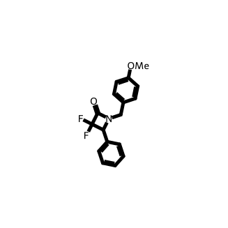 COc1ccc(CN2C(=O)C(F)(F)C2c2ccccc2)cc1